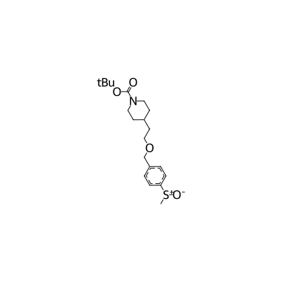 C[S+]([O-])c1ccc(COCCC2CCN(C(=O)OC(C)(C)C)CC2)cc1